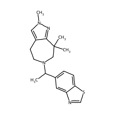 CC(c1ccc2scnc2c1)N1CCc2cn(C)nc2C(C)(C)C1